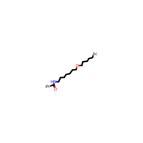 CC(=O)CCCCCOCCCCCCCNC(=O)C(C)C